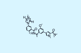 COc1cc(-c2cc(C(=O)N(C)C)n(C)c2)cc([C@@H](C)NC(=O)c2cc(N3C[C@H]4C[C@@H]3CN4C)ccc2C)c1